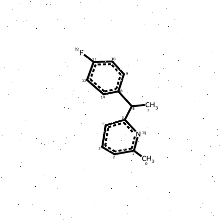 Cc1cccc(C(C)c2ccc(F)cc2)n1